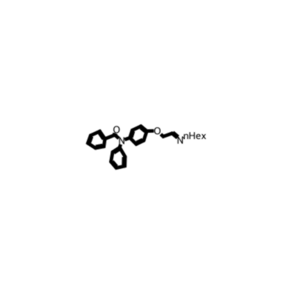 CCCCCCN=CCOc1ccc(N(C(=O)c2ccccc2)c2ccccc2)cc1